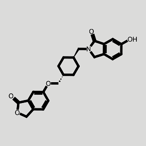 O=C1OCc2ccc(OC[C@H]3CC[C@H](CN4Cc5ccc(O)cc5C4=O)CC3)cc21